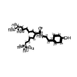 CCCC[N+](CCCC)(CCCC)CCCCCC(CCCC[N+](CCCC)(CCCC)CCCC)C(=O)NCCc1ccc(O)cc1